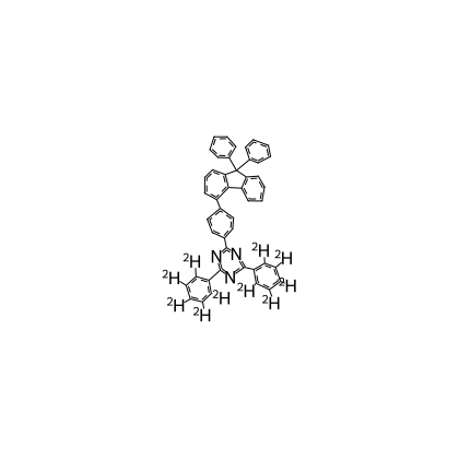 [2H]c1c([2H])c([2H])c(-c2nc(-c3ccc(-c4cccc5c4-c4ccccc4C5(c4ccccc4)c4ccccc4)cc3)nc(-c3c([2H])c([2H])c([2H])c([2H])c3[2H])n2)c([2H])c1[2H]